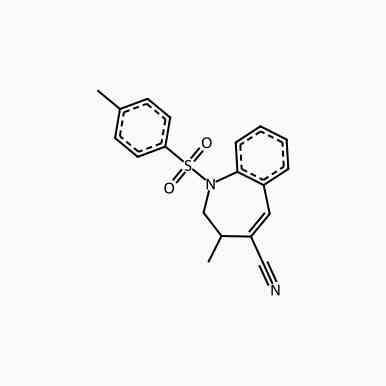 Cc1ccc(S(=O)(=O)N2CC(C)C(C#N)=Cc3ccccc32)cc1